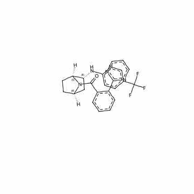 O=C(c1ccccc1-c1ncccn1)N1[C@@H]2CC[C@H]1[C@H](Nc1ccc(C(F)(F)F)cn1)C2